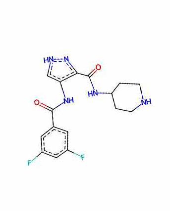 O=C(Nc1c[nH]nc1C(=O)NC1CCNCC1)c1cc(F)cc(F)c1